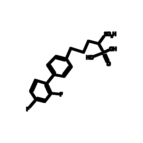 O=P(O)(O)C(CCCc1ccc(-c2ccc(F)cc2F)cc1)S(=O)(=O)O